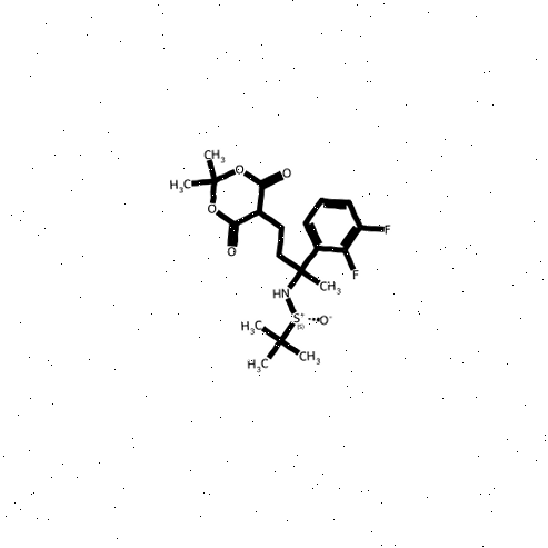 CC1(C)OC(=O)C(CCC(C)(N[S@+]([O-])C(C)(C)C)c2cccc(F)c2F)C(=O)O1